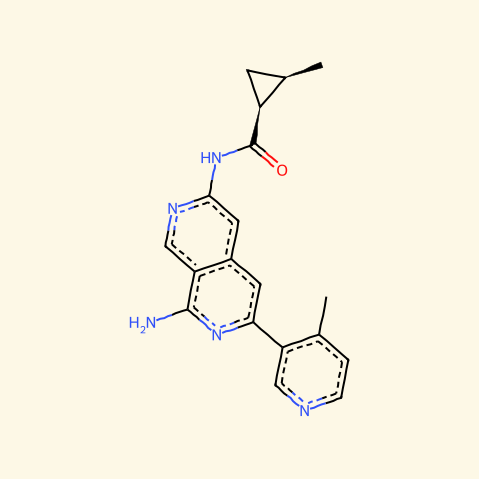 Cc1ccncc1-c1cc2cc(NC(=O)[C@H]3C[C@H]3C)ncc2c(N)n1